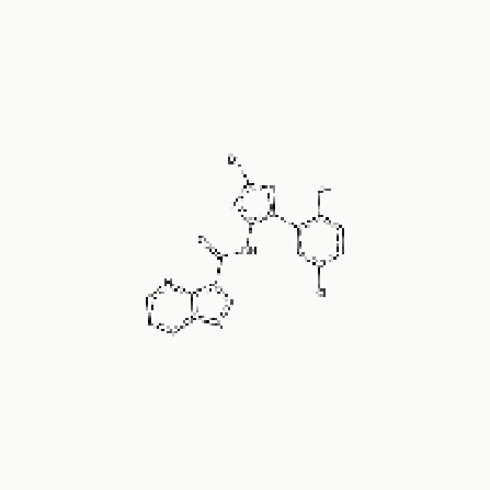 O=C(Nc1sc(Br)nc1-c1cc(Cl)ccc1O)c1cnn2cccnc12